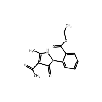 CCOC(=O)c1ccccc1-n1[nH]c(C)c(C(C)=O)c1=O